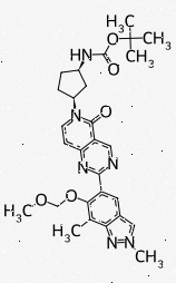 COCOc1c(-c2ncc3c(=O)n([C@H]4CC[C@@H](NC(=O)OC(C)(C)C)C4)ccc3n2)cc2cn(C)nc2c1C